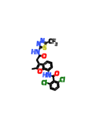 Cc1oc2c(NC(=O)c3c(Cl)cccc3Cl)cccc2c1CC(=O)Nc1nnc(C(F)(F)F)s1